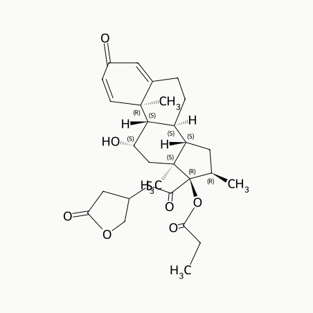 CCC(=O)O[C@]1(C(=O)SC2COC(=O)C2)[C@H](C)C[C@H]2[C@@H]3CCC4=CC(=O)C=C[C@]4(C)[C@H]3[C@@H](O)C[C@@]21C